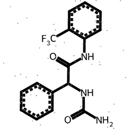 NC(=O)NC(C(=O)Nc1ccccc1C(F)(F)F)c1ccccc1